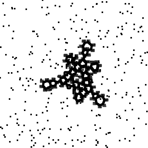 Fc1cccc(F)c1N1c2cc3c(cc2B2c4ccccc4Oc4cc(C5CC6CCCCCC6C5)cc1c42)B1c2cc4c(cc2Oc2cc(C5CC6CCCCCC6C5)cc(c21)O3)N(c1c(F)cccc1F)c1cc(C2CC3CCCCCC3C2)cc2c1B4c1ccccc1N2c1ccccc1